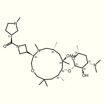 CO[C@]1(C)C[C@@H](C)CN(C)[C@H](C2CN(C(=O)[C@H]3CCN(C)C3)C2)COCC(C)(C)C[C@@H](C)[C@H]1O[C@@H]1O[C@H](C)C[C@H](N(C)C)[C@H]1O